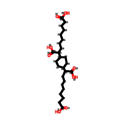 O=C(O)CCCCCCCC(C(=O)O)C1CCC(C(CCCCCCCC(=O)O)C(=O)O)CC1